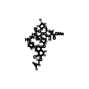 C=C[C@@H]1CC1(NC(=O)[C@@H]1C[C@@H](Oc2cc(-c3csc(NC(C)C)n3)nc3c(Cl)c(OCCN(C)C)ccc23)CN1C(=O)[C@@H](NC(=O)O[C@H]1CC[C@@H](C)C1)C(C)(C)C)C(=O)OC